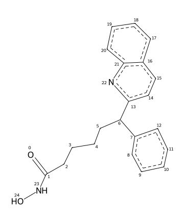 O=C(CCCCC(c1ccccc1)c1ccc2ccccc2n1)NO